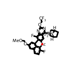 COCOc1cc(-c2c(C(C)=O)cc3c(N4C[C@H]5CC[C@@H](C4)N5C(=O)O)nc(OCC(F)(F)F)nc3c2F)c2c(F)c(F)ccc2c1